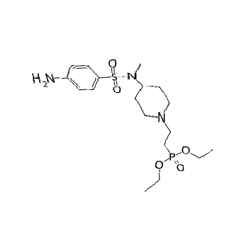 CCOP(=O)(CCN1CCC(N(C)S(=O)(=O)c2ccc(N)cc2)CC1)OCC